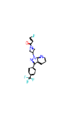 O=C(C=CF)N1CC(n2nc(-c3ccc(C(F)(F)F)cc3)c3cccnc32)C1